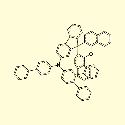 c1ccc(-c2ccc(N(c3ccc(-c4ccccc4)c(-c4ccccc4)c3)c3ccc4c(c3)C3(c5ccccc5-4)c4ccc5ccccc5c4Oc4c3ccc3ccccc43)cc2)cc1